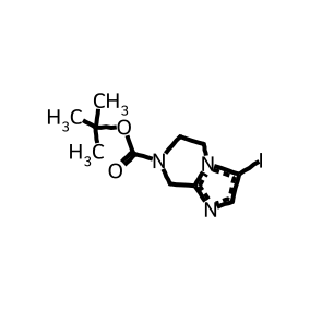 CC(C)(C)OC(=O)N1CCn2c(I)cnc2C1